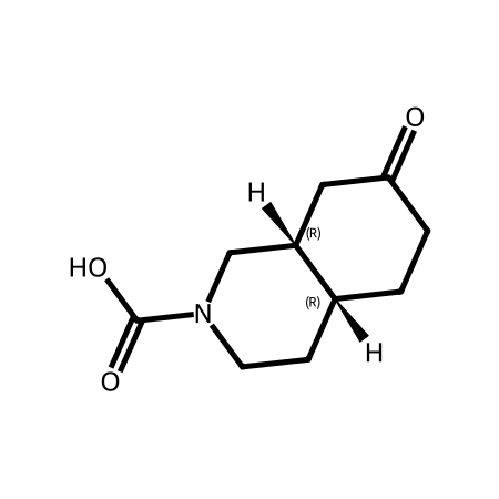 O=C1CC[C@@H]2CCN(C(=O)O)C[C@@H]2C1